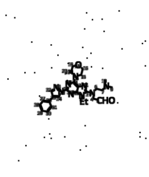 CCn1c(N(CC=O)CCN(C)C)nc2c(N3CCOC[C@H]3C)nc(-n3cc(-c4ccccc4)cn3)nc21